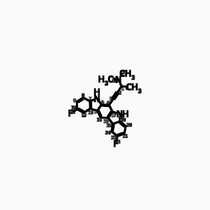 CC(C#Cc1c2[nH]c3ccc(F)cc3c2cc2c1[nH]c1ccc(F)cc12)N(C)C